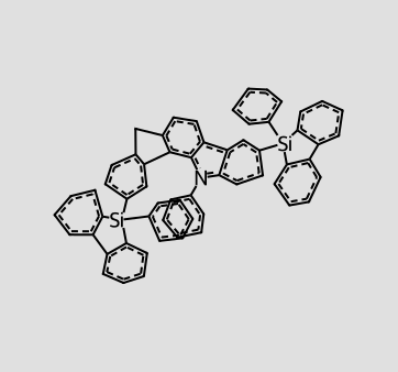 c1ccc(-n2c3ccc([Si]4(c5ccccc5)c5ccccc5-c5ccccc54)cc3c3ccc4c(c32)-c2cc([Si]3(c5ccccc5)c5ccccc5-c5ccccc53)ccc2C4)cc1